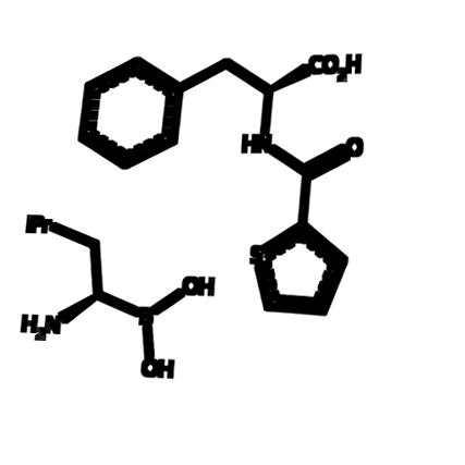 CC(C)C[C@H](N)B(O)O.O=C(N[C@@H](Cc1ccccc1)C(=O)O)c1cccs1